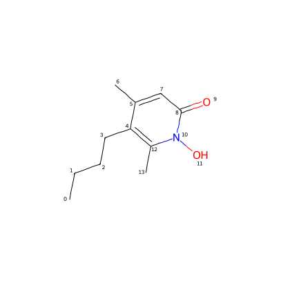 CCCCc1c(C)cc(=O)n(O)c1C